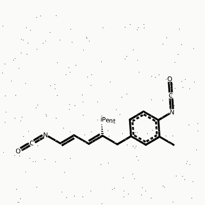 CCC[C@@H](C)/C(=C\C=C\N=C=O)Cc1ccc(N=C=O)c(C)c1